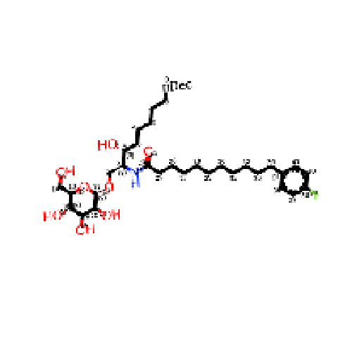 CCCCCCCCCCCCCCC[C@@H](O)[C@H](CO[C@H]1OC(CO)[C@H](O)C(O)C1O)NC(=O)CCCCCCCCCCc1ccc(F)cc1